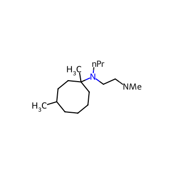 CCCN(CCNC)C1(C)CCCCC(C)CC1